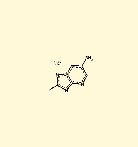 Cc1nc2ncc(N)cn2n1.Cl